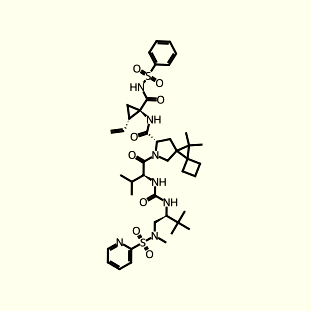 C=C[C@@H]1C[C@]1(NC(=O)[C@@H]1CC2(CN1C(=O)[C@@H](NC(=O)N[C@H](CN(C)S(=O)(=O)c1ccccn1)C(C)(C)C)C(C)C)C(C)(C)C21CCC1)C(=O)NS(=O)(=O)c1ccccc1